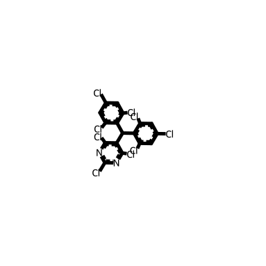 Clc1cc(Cl)c(C(c2c(Cl)cc(Cl)cc2Cl)c2c(Cl)nc(Cl)nc2Cl)c(Cl)c1